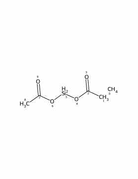 C.CC(=O)O[SiH2]OC(C)=O